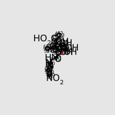 CC1CC(C(=O)NCCc2cn(Cn3ccc4cc([N+](=O)[O-])ccc43)nn2)C[C@@H](O[C@@H]2OC(CO)[C@H](O)C(O[C@@H](CC3CCCCC3)C(=O)O)C2OC(=O)c2ccccc2)C1O[C@@H]1OC(C)[C@@H](O)C(O)C1O